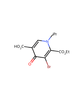 CCOC(=O)c1c(Br)c(=O)c(C(=O)O)cn1C(C)C